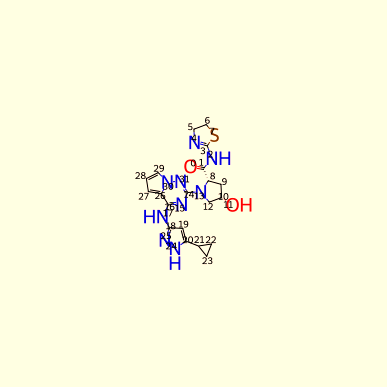 O=C(NC1=NCCS1)[C@@H]1C[C@H](O)CN1c1nc(Nc2cc(C3CC3)[nH]n2)c2cccn2n1